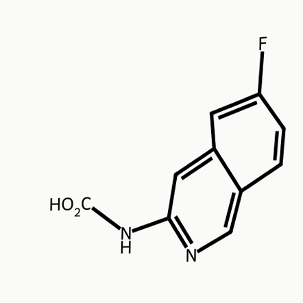 O=C(O)Nc1cc2cc(F)ccc2cn1